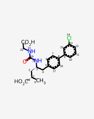 C[C@@H](C[C@@H](Cc1ccc(-c2cccc(Cl)c2)cc1)NC(=O)NCC(=O)O)C(=O)O